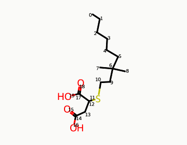 CCCCCCC(C)(C)CCSC(CC(=O)O)C(=O)O